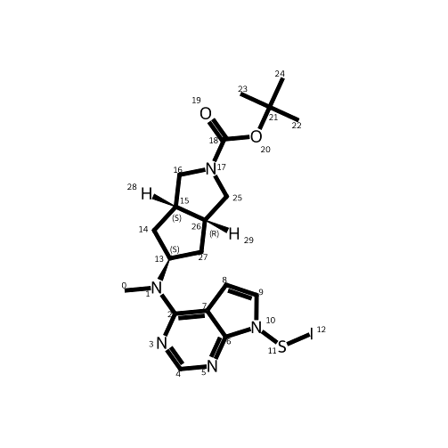 CN(c1ncnc2c1ccn2SI)[C@H]1C[C@@H]2CN(C(=O)OC(C)(C)C)C[C@@H]2C1